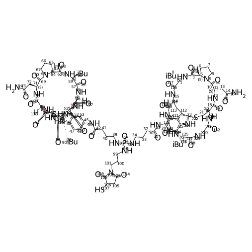 CCC(C)[C@@H]1NC(=O)[C@@H]2CCCN2C(=O)[C@H](CC(N)=O)NC(=O)[C@@H]2CSc3[nH]c4ccc(NC(=O)CCCNP(=O)(NCCCC(=O)Nc5ccc6[nH]c7c(c6c5)C[C@@H]5NC(=O)[C@H](C(C)CC)NC(=O)[C@@H]6CCCN6C(=O)[C@H](CC(N)=O)NC(=O)[C@H](CS7)NC(=O)CNC(=O)[C@H]([C@@H](C)CC)NC(=O)CNC5=O)NCCCN5C(=O)CC(S)C5=O)cc4c3C[C@H](NC1=O)C(=O)NCC(=O)N[C@@H]([C@@H](C)CC)C(=O)NCC(=O)N2